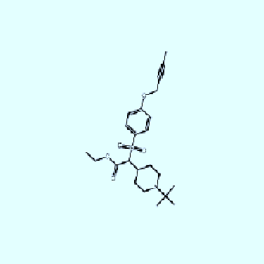 CC#CCOc1ccc(S(=O)(=O)C(C(=O)OCC)C2CCN(C(C)(C)C)CC2)cc1